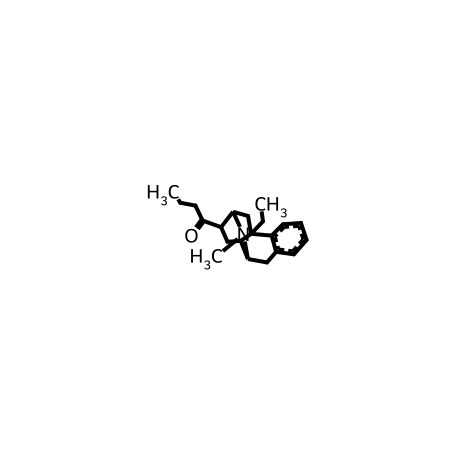 CCCC(=O)C1CC2C3Cc4ccccc4C2(CC)CC1N3C